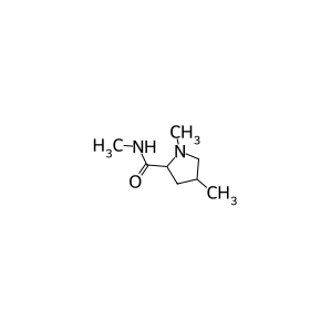 CNC(=O)C1CC(C)CN1C